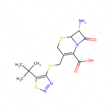 CC(C)(C)c1snnc1SCC1=C(C(=O)O)N2C(=O)[C@@H](N)C2SC1